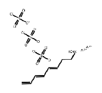 C=CC=CC=CCCCCCCCCCCCC.O=S(=O)([O-])[O-].O=S(=O)([O-])[O-].O=S(=O)([O-])[O-].[Al+3].[Al+3]